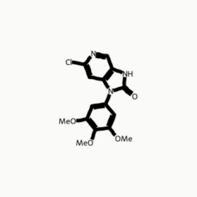 COc1cc(-n2c(=O)[nH]c3cnc(Cl)cc32)cc(OC)c1OC